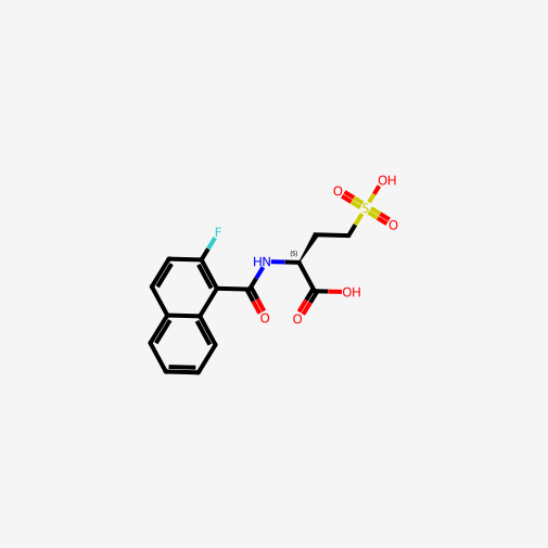 O=C(N[C@@H](CCS(=O)(=O)O)C(=O)O)c1c(F)ccc2ccccc12